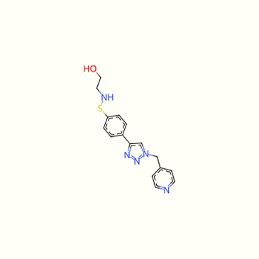 OCCNSc1ccc(-c2cn(Cc3ccncc3)nn2)cc1